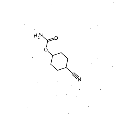 N#CC1CCC(OC(N)=O)CC1